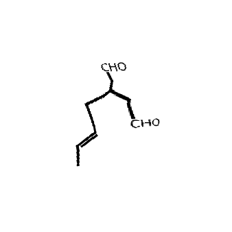 CC=CCC(C=O)CC=O